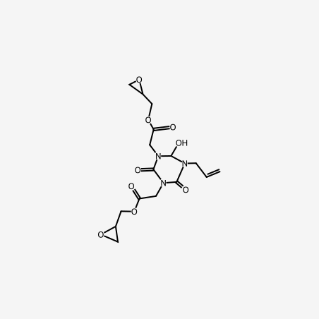 C=CCN1C(=O)N(CC(=O)OCC2CO2)C(=O)N(CC(=O)OCC2CO2)C1O